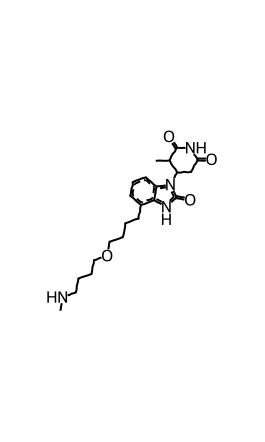 CNCCCCOCCCCc1cccc2c1[nH]c(=O)n2C1CC(=O)NC(=O)C1C